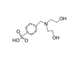 O=S(=O)(O)c1ccc(CN(CCO)CCO)cc1